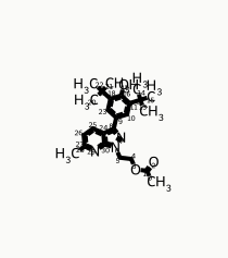 CC(=O)OCCn1nc(-c2cc(C(C)(C)C)c(O)c(C(C)(C)C)c2)c2ccc(C)nc21